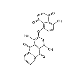 O=C1C=CC(=O)c2c(Oc3cc(O)c4c(c3O)C(=O)c3ccccc3C4=O)ccc(O)c21